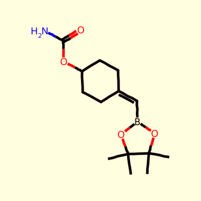 CC1(C)OB(C=C2CCC(OC(N)=O)CC2)OC1(C)C